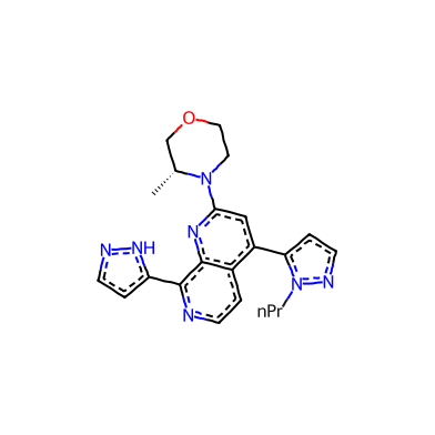 CCCn1nccc1-c1cc(N2CCOC[C@H]2C)nc2c(-c3ccn[nH]3)nccc12